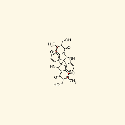 CN1C(=O)C23CC4(C56CC78SSC(CO)(C(=O)N7C5Nc5ccccc56)N(C)C8=O)c5ccccc5NC4N2C(=O)C1(CO)SS3